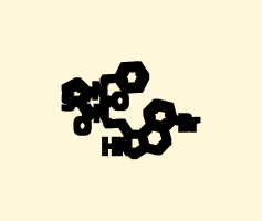 O=c1c2sccc2n(Cc2ccccc2)c(=O)n1CCC1NCC2CCc3c(Br)cccc3C21